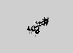 CN(C)[C@@H](CC(=O)N1CC(=O)N(CC(=O)NC2CC2)c2cc(F)ccc2C1)Cc1cc(F)c(F)cc1F